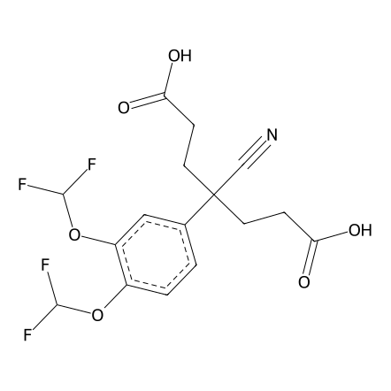 N#CC(CCC(=O)O)(CCC(=O)O)c1ccc(OC(F)F)c(OC(F)F)c1